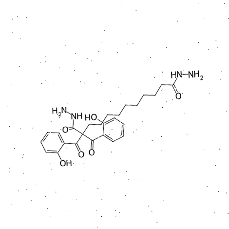 NNC(=O)CCCCCCCCCC(C(=O)NN)(C(=O)c1ccccc1O)C(=O)c1ccccc1O